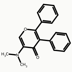 CN(C)c1coc(-c2ccccc2)c(-c2ccccc2)c1=O